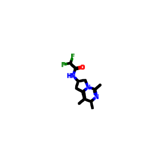 CC1=NC(C)C(C)=C2CC(NC(=O)C(F)F)CN12